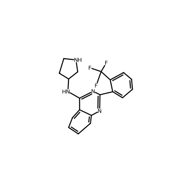 FC(F)(F)c1ccccc1-c1nc(NC2CCNC2)c2ccccc2n1